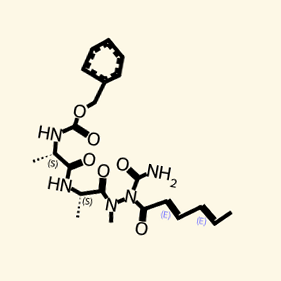 C/C=C/C=C/C(=O)N(C(N)=O)N(C)C(=O)[C@H](C)NC(=O)[C@H](C)NC(=O)OCc1ccccc1